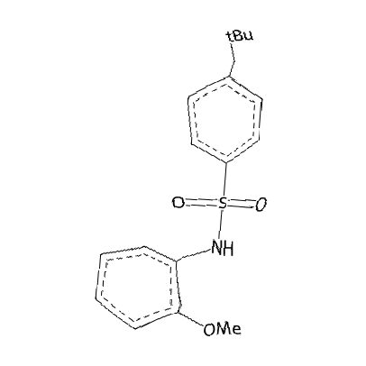 COc1ccccc1NS(=O)(=O)c1ccc(C(C)(C)C)cc1